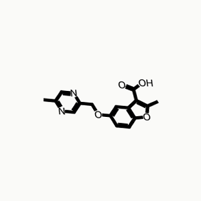 Cc1cnc(COc2ccc3oc(C)c(C(=O)O)c3c2)cn1